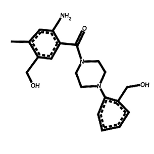 Cc1cc(N)c(C(=O)N2CCN(c3ccccc3CO)CC2)cc1CO